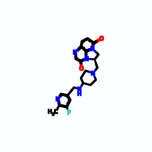 Cc1ncc(CNC2CCN(C[C@@H]3Cn4c(=O)ccc5ncc(=O)n3c54)CC2)cc1F